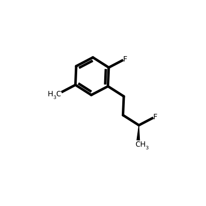 Cc1ccc(F)c(CC[C@H](C)F)c1